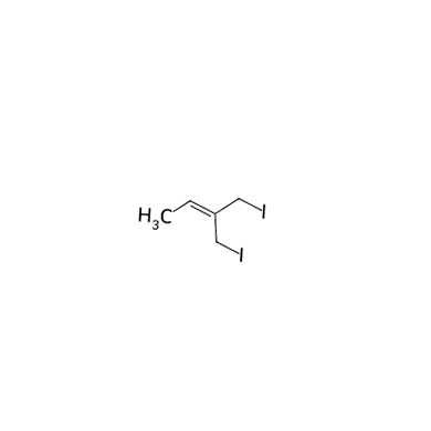 CC=C(CI)CI